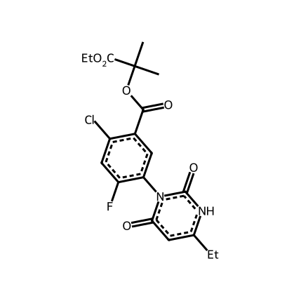 CCOC(=O)C(C)(C)OC(=O)c1cc(-n2c(=O)cc(CC)[nH]c2=O)c(F)cc1Cl